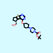 CC(C)(C)OC(=O)N1CCN(C2CCC(Oc3ncnc4sc5c(c34)[C@@H](CO)CC5)CC2)CC1